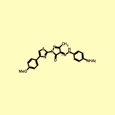 COc1ccc(-c2csc(N3N=C(C)/C(=N\Nc4ccc(NC(C)=O)cc4)C3=O)n2)cc1